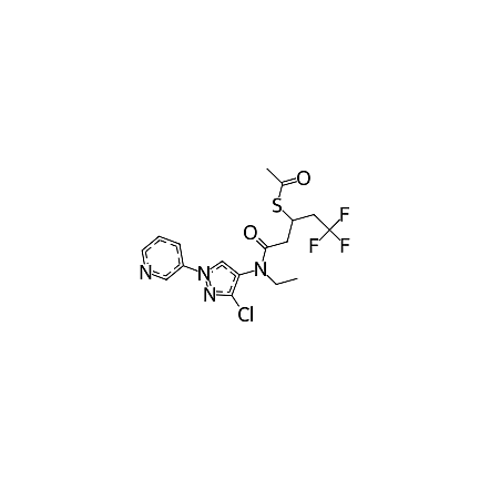 CCN(C(=O)CC(CC(F)(F)F)SC(C)=O)c1cn(-c2cccnc2)nc1Cl